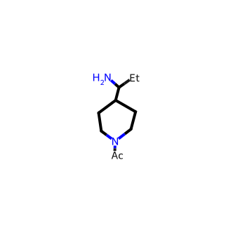 CCC(N)C1CCN(C(C)=O)CC1